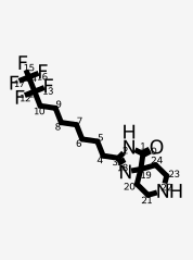 O=C1NC(CCCCCCCC(F)(F)C(F)(F)F)=NC12CCNCC2